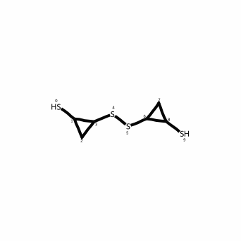 SC1CC1SSC1CC1S